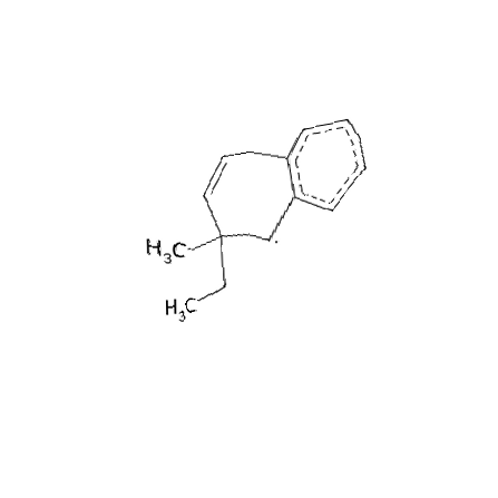 CCC1(C)[CH]c2ccccc2C=C1